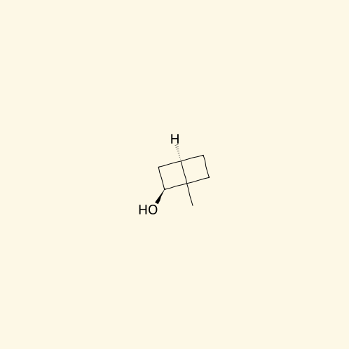 CC12CC[C@@H]1C[C@@H]2O